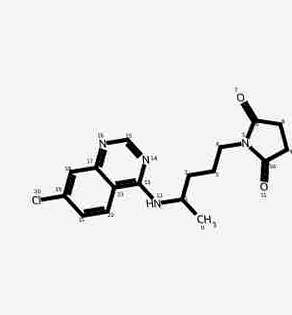 CC(CCCN1C(=O)CCC1=O)Nc1ncnc2cc(Cl)ccc12